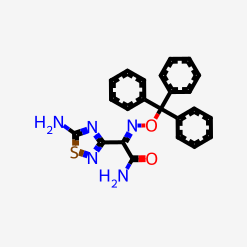 NC(=O)C(=NOC(c1ccccc1)(c1ccccc1)c1ccccc1)c1nsc(N)n1